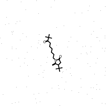 C=C1C(C(C)(C)C)CC(=O)N1CCCCCCC(=O)C(C)(C)C